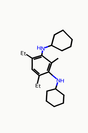 CCc1cc(CC)c(NC2CCCCC2)c(C)c1NC1CCCCC1